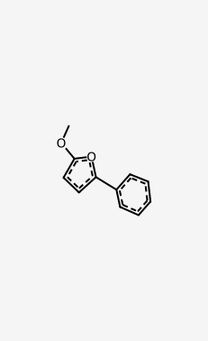 COc1ccc(-c2ccccc2)o1